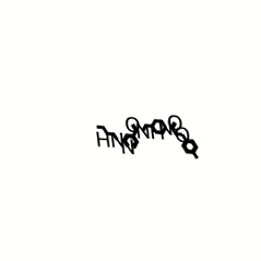 CCCCNc1cc(C(=O)NCC2CCN(C(=O)COc3ccc(C)cc3)CC2)ccn1